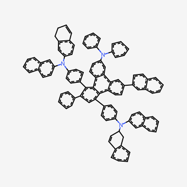 C1=Cc2ccc(N(c3ccc(-c4c(-c5ccccc5)cc(-c5ccc(N(c6ccc7ccccc7c6)C6C=Cc7ccccc7C6)cc5)c5c6ccc(-c7ccc8ccccc8c7)cc6c6cc(N(c7ccccc7)c7ccccc7)ccc6c45)cc3)c3ccc4ccccc4c3)cc2CC1